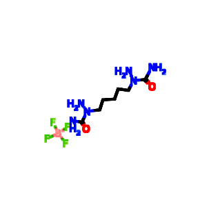 F[B-](F)(F)F.NC(=O)N(N)CCCCCN(N)C(N)=O